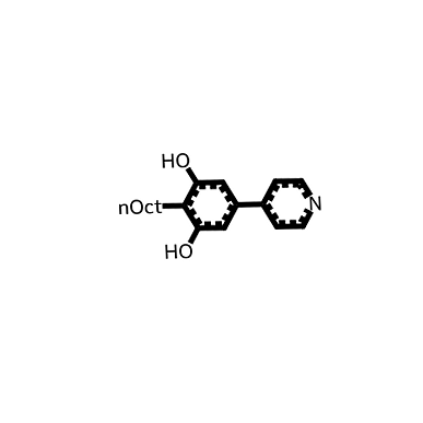 CCCCCCCCc1c(O)cc(-c2ccncc2)cc1O